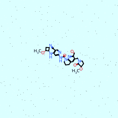 CO[C@H]1CC[C@H]1Nc1cc(NC(=O)N2CCCc3cc(CN4CC[C@@H](OC)C4=O)c(C=O)nc32)ncc1C#N